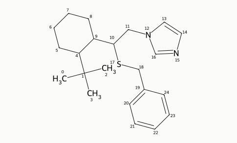 CC(C)(C)C1CCCCC1C(Cn1ccnc1)SCc1ccccc1